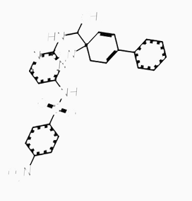 CC(Nc1nccc(NS(=O)(=O)c2ccc([N+](=O)[O-])cc2)n1)C1([N+](=O)[O-])C=CC(c2ccccc2)=CC1